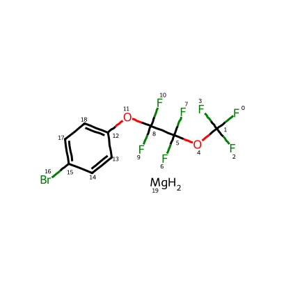 FC(F)(F)OC(F)(F)C(F)(F)Oc1ccc(Br)cc1.[MgH2]